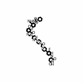 N#Cc1c(NS(=O)(=O)C2CCCCC2)ccc(F)c1Oc1ccc2ncn(-c3cnc(N4CCN(C(=O)CN5CCC(c6ccc(N[C@H]7CCC(=O)NC7=O)cc6F)CC5)CC4)nc3)c(=O)c2c1